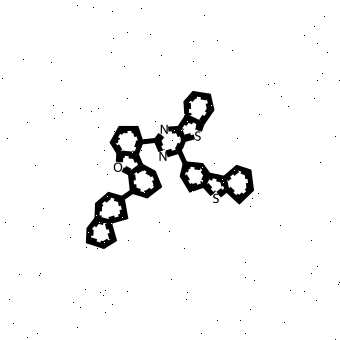 c1ccc2cc(-c3cccc4c3oc3cccc(-c5nc(-c6ccc7sc8ccccc8c7c6)c6sc7ccccc7c6n5)c34)ccc2c1